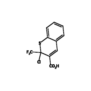 O=C(O)C1=Cc2ccccc2SC1(Cl)C(F)(F)F